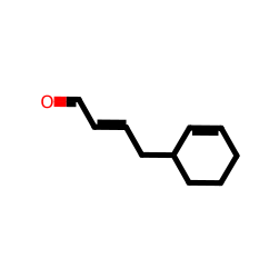 O=CC=CCC1C=CCCC1